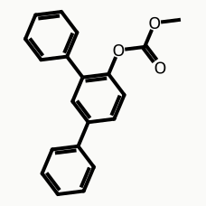 COC(=O)Oc1ccc(-c2ccccc2)cc1-c1ccccc1